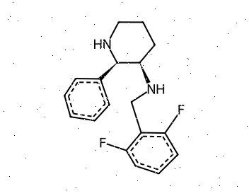 Fc1cccc(F)c1CN[C@@H]1CCCN[C@@H]1c1ccccc1